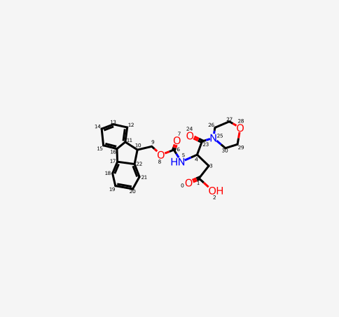 O=C(O)CC(NC(=O)OCC1c2ccccc2-c2ccccc21)C(=O)N1CCOCC1